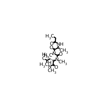 CCC(=O)N[C@@H](C)C(=O)N(C)C(=O)N(C)[C@@H](CC(C)C)C(=O)NC